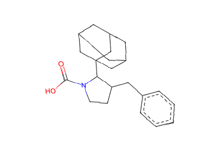 O=C(O)N1CCC(Cc2ccccc2)C1C12CC3CC(CC(C3)C1)C2